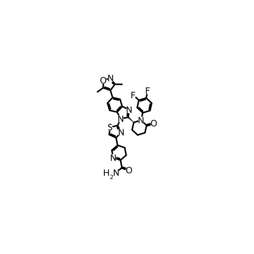 Cc1noc(C)c1-c1ccc2c(c1)nc([C@@H]1CCCC(=O)N1c1ccc(F)c(F)c1)n2-c1nc(C2=CN=C(C(N)=O)CC2)cs1